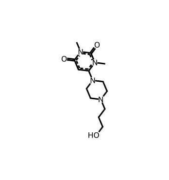 Cn1c(N2CCN(CCCO)CC2)cc(=O)n(C)c1=O